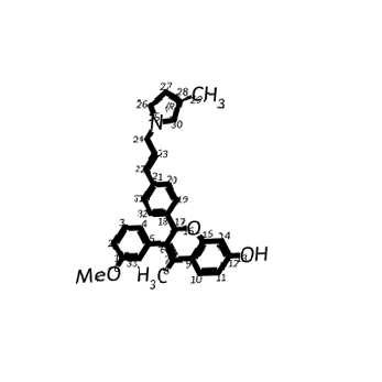 COc1cccc(C2=C(C)c3ccc(O)cc3OC2c2ccc(C=CCN3CC[C@@H](C)C3)cc2)c1